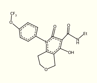 CCNC(=O)c1c(O)c2c(n(-c3ccc(OC(F)(F)F)cc3)c1=O)CCOC2